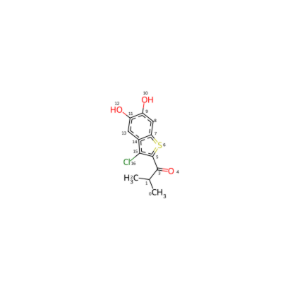 CC(C)C(=O)c1sc2cc(O)c(O)cc2c1Cl